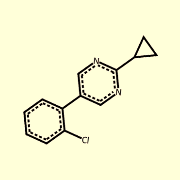 Clc1ccccc1-c1cnc(C2CC2)nc1